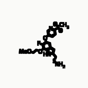 COCCOc1c(F)c(Oc2ccc(S(C)(=O)=O)nc2)cc2cc(CSN)[nH]c12